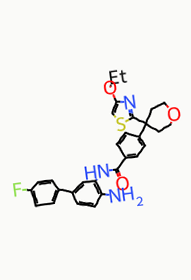 CCOc1csc(C2(c3ccc(C(=O)Nc4cc(-c5ccc(F)cc5)ccc4N)cc3)CCOCC2)n1